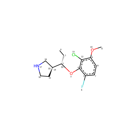 CC[C@H](Oc1c(F)ccc(OC)c1Cl)[C@H]1CCNC1